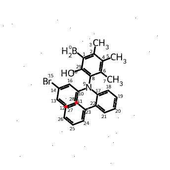 Bc1c(C)c(C)c(C)c(N(c2cccc(Br)c2)c2ccccc2-c2ccccc2)c1O